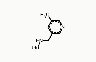 Cc1cncc(CNC(C)(C)C)c1